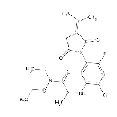 CCON(CC)C(=O)C(C)Nc1cc(N2C(=O)CC(=C(C)C)C2=O)c(F)cc1Cl